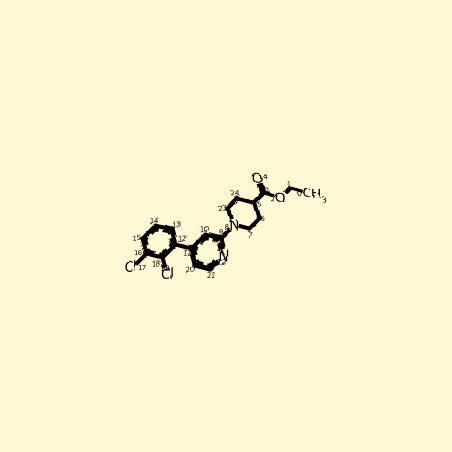 CCOC(=O)C1CCN(c2cc(-c3cccc(Cl)c3Cl)ccn2)CC1